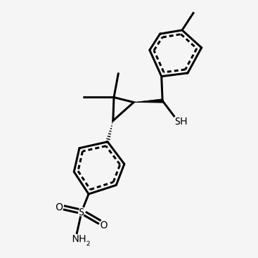 Cc1ccc(C(S)[C@H]2[C@H](c3ccc(S(N)(=O)=O)cc3)C2(C)C)cc1